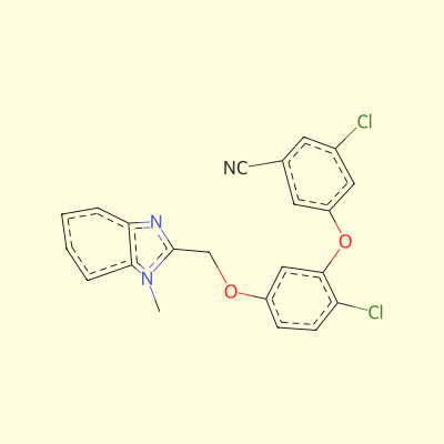 Cn1c(COc2ccc(Cl)c(Oc3cc(Cl)cc(C#N)c3)c2)nc2ccccc21